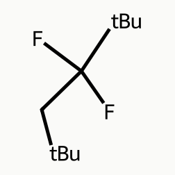 CC(C)(C)CC(F)(F)C(C)(C)C